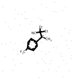 CCC(C#N)(CC)[C@@H](C)c1ccc(C(F)(F)F)cc1